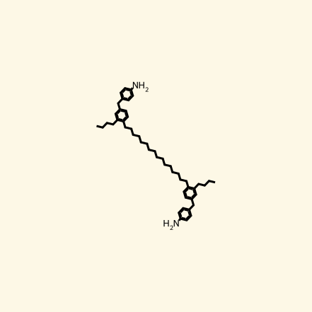 CCCCc1cc(Cc2ccc(N)cc2)ccc1CCCCCCCCCCCCCCCCc1ccc(Cc2ccc(N)cc2)cc1CCCC